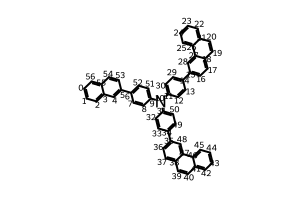 c1ccc2cc(-c3ccc(N(c4ccc(-c5ccc6ccc7ccccc7c6c5)cc4)c4ccc(-c5ccc6ccc7ccccc7c6c5)cc4)cc3)ccc2c1